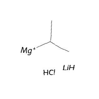 C[CH](C)[Mg+].Cl.[LiH]